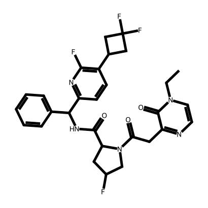 CCn1ccnc(CC(=O)N2CC(F)CC2C(=O)NC(c2ccccc2)c2ccc(C3CC(F)(F)C3)c(F)n2)c1=O